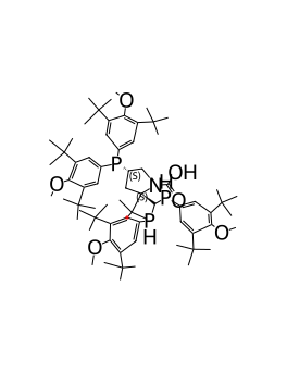 COc1c(C(C)(C)C)cc(PC(Pc2cc(C(C)(C)C)c(OC)c(C(C)(C)C)c2)[C@@]2(C(C)(C)C)C[C@H](P(c3cc(C(C)(C)C)c(OC)c(C(C)(C)C)c3)c3cc(C(C)(C)C)c(OC)c(C(C)(C)C)c3)CN2C(=O)O)cc1C(C)(C)C